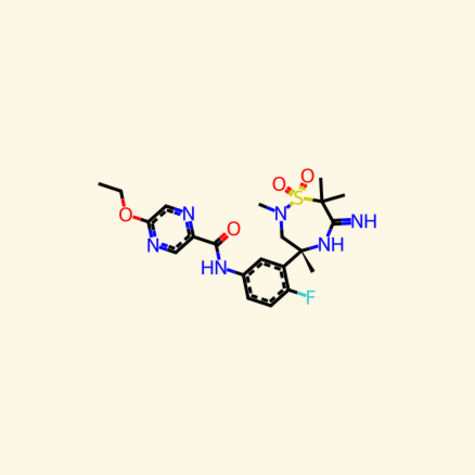 CCOc1cnc(C(=O)Nc2ccc(F)c([C@]3(C)CN(C)S(=O)(=O)C(C)(C)C(=N)N3)c2)cn1